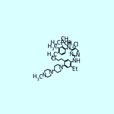 C=P(C)(C)c1c(Nc2nc(Nc3cc(CCCl)c(N4CCC(N5CCN(C)CC5)CC4)cc3CC)ncc2Cl)ccc(C)c1C